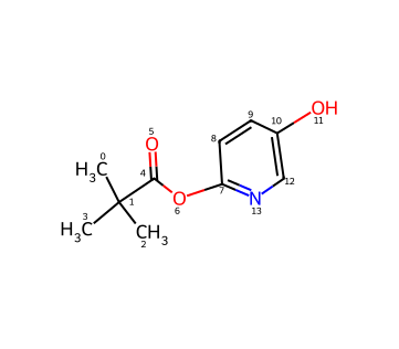 CC(C)(C)C(=O)Oc1ccc(O)cn1